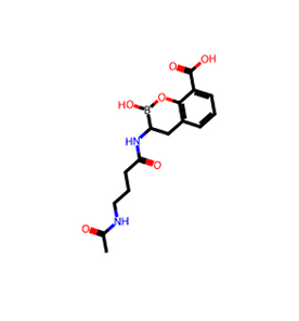 CC(=O)NCCCC(=O)NC1Cc2cccc(C(=O)O)c2OB1O